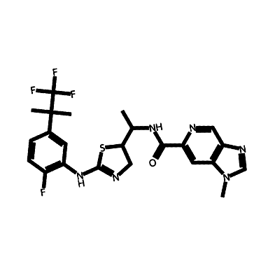 CC(NC(=O)c1cc2c(cn1)ncn2C)C1CN=C(Nc2cc(C(C)(C)C(F)(F)F)ccc2F)S1